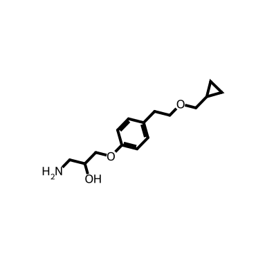 NCC(O)COc1ccc(CCOCC2CC2)cc1